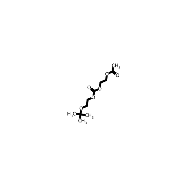 CC(=O)OCCOC(=O)OCCOC(C)(C)C